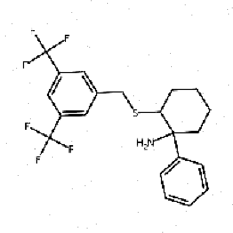 NC1(c2ccccc2)CCCCC1SCc1cc(C(F)(F)F)cc(C(F)(F)F)c1